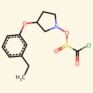 CCc1cccc(OC2CCN(OS(=O)C(=O)Cl)C2)c1